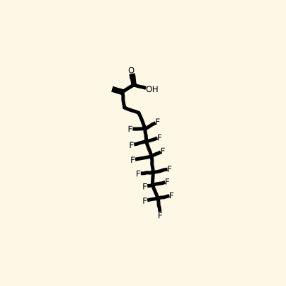 C=C(CCC(F)(F)C(F)(F)C(F)(F)C(F)(F)C(F)(F)C(F)(F)F)C(=O)O